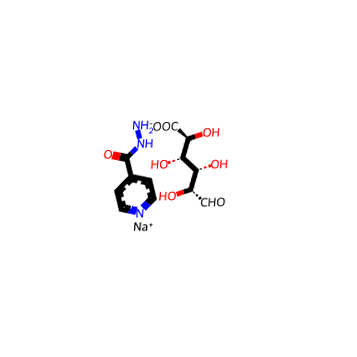 NNC(=O)c1ccncc1.O=C[C@H](O)[C@@H](O)[C@H](O)[C@H](O)C(=O)[O-].[Na+]